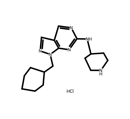 Cl.c1nc(NC2CCNCC2)nc2c1cnn2CC1CCCCC1